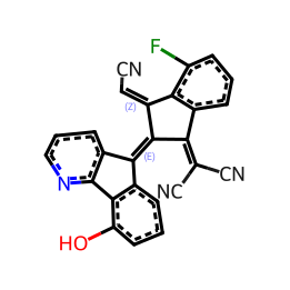 N#C/C=C1/C(=C2\c3cccnc3-c3c(O)cccc32)C(=C(C#N)C#N)c2cccc(F)c21